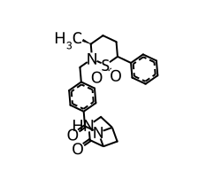 C[C@H]1CCC(c2ccccc2)S(=O)(=O)N1Cc1ccc(C(=O)N2C3CNC(=O)C2C3)cc1